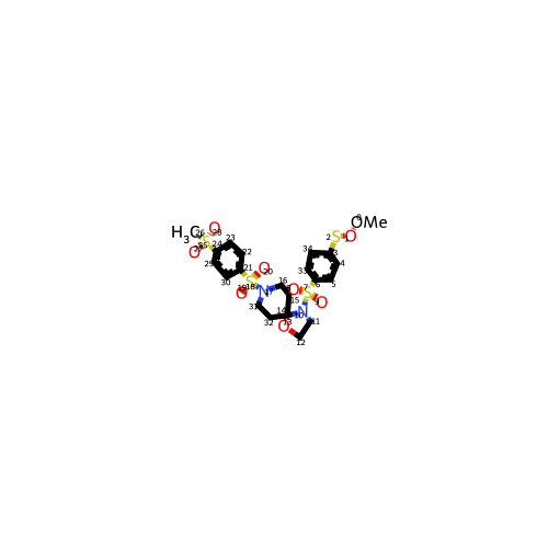 COOSc1ccc(S(=O)(=O)N2CCOC23CCN(S(=O)(=O)c2ccc(S(C)(=O)=O)cc2)CC3)cc1